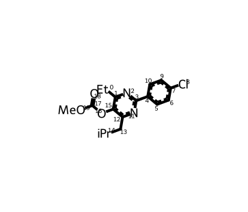 CCc1nc(-c2ccc(Cl)cc2)nc(CC(C)C)c1OC(=O)OC